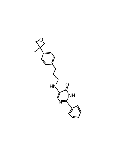 CC1(c2ccc(CCCNc3cnc(-c4ccccc4)[nH]c3=O)cc2)COC1